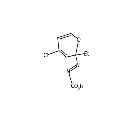 CCC1(N=NC(=O)O)C=C(Cl)C=CO1